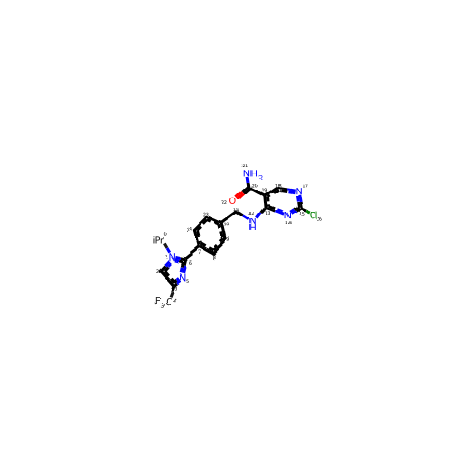 CC(C)n1cc(C(F)(F)F)nc1-c1ccc(CNc2nc(Cl)ncc2C(N)=O)cc1